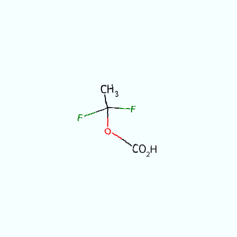 CC(F)(F)OC(=O)O